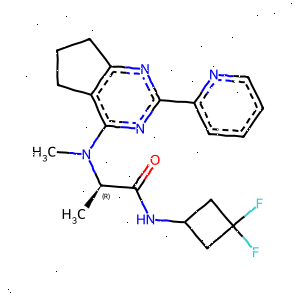 C[C@H](C(=O)NC1CC(F)(F)C1)N(C)c1nc(-c2ccccn2)nc2c1CCC2